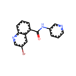 O=C(Nc1cccnc1)c1cccc2ncc(Br)cc12